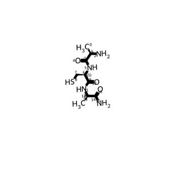 C[C@@H](N)C(=O)N[C@H](CS)C(=O)N[C@H](C)C(N)=O